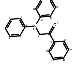 O=C(CN(c1ccccc1)c1ccccc1)c1ccccc1